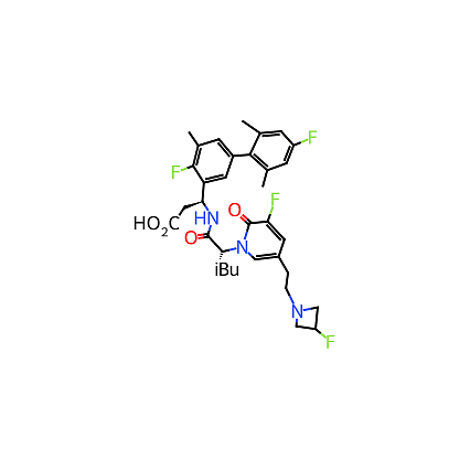 CC[C@@H](C)C(C(=O)N[C@@H](CC(=O)O)c1cc(-c2c(C)cc(F)cc2C)cc(C)c1F)n1cc(CCN2CC(F)C2)cc(F)c1=O